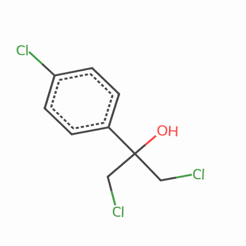 OC(CCl)(CCl)c1ccc(Cl)cc1